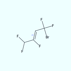 F/C(=C\C(F)(F)Br)C(F)F